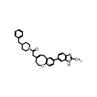 Cc1nc2ccc(-c3ccc4c(c3)C/C=C(/CC(=O)N3CCC(Cc5ccccc5)CC3)CCO4)cc2[nH]1